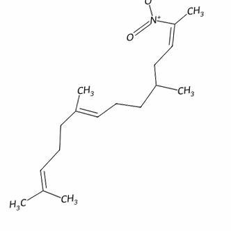 CC(C)=CCCC(C)=CCCC(C)CC=C(C)[N+](=O)[O-]